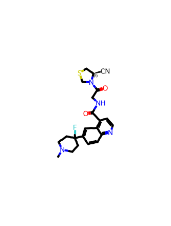 CN1CCC(F)(c2ccc3nccc(C(=O)NCC(=O)N4CSC[C@H]4C#N)c3c2)CC1